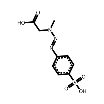 CN(CC(=O)O)/N=N/c1ccc(S(=O)(=O)O)cc1